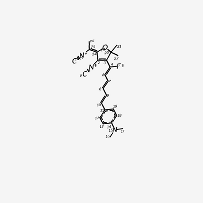 [C-]#[N+]C1=C(C(/F)=C/C=C/C=C/c2ccc(N(C)C)cc2)C(C)(C)O/C1=C(\C)[N+]#[C-]